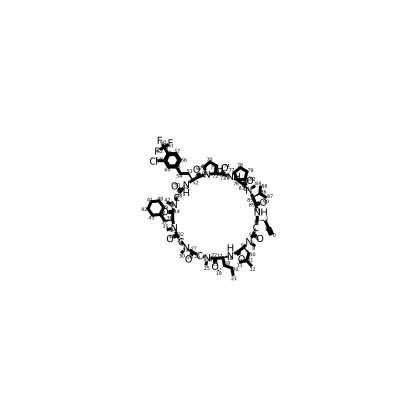 C#CC[C@@H]1CC(=O)N(C)[C@@H](CC(C)C)C(=O)N[C@@H]([C@@H](C)CC)C(=O)N(C)CC(=O)N(C)CC(=O)N(C)[C@@H](CC2CCCCC2)C(=O)N(C)CC(=O)N[C@@H](CCc2ccc(C(F)(F)F)c(Cl)c2)C(=O)N2CCC[C@H]2C(=O)NC2(CCCC2)C(=O)N(C)[C@@H](C(C)C)C(=O)N1